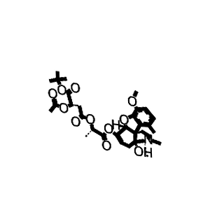 COc1ccc(C)c2c1O[C@H]1C(OC(=O)[C@H](C)OC(=O)C[C@H](OC(C)=O)C(=O)OC(C)(C)C)=CC[C@@]3(O)[C@@H](C)N(C)CC[C@]213